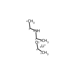 CCNCC.CC[O-].[Li+]